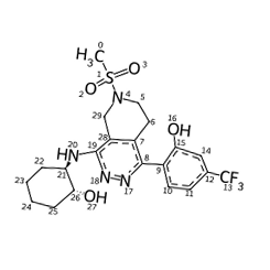 CS(=O)(=O)N1CCc2c(-c3ccc(C(F)(F)F)cc3O)nnc(N[C@@H]3CCCC[C@H]3O)c2C1